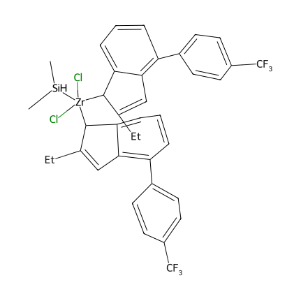 CCC1=Cc2c(-c3ccc(C(F)(F)F)cc3)cccc2[CH]1[Zr]([Cl])([Cl])([CH]1C(CC)=Cc2c(-c3ccc(C(F)(F)F)cc3)cccc21)[SiH](C)C